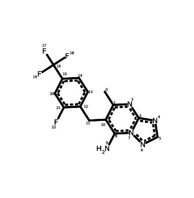 Cc1nc2ncnn2c(N)c1Cc1ccc(C(F)(F)F)cc1F